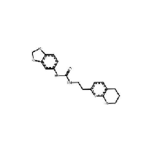 O=C(NCCc1ccc2c(n1)NCCC2)Nc1ccc2c(c1)OCO2